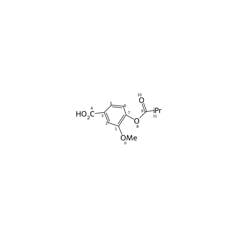 COc1cc(C(=O)O)ccc1OC(=O)C(C)C